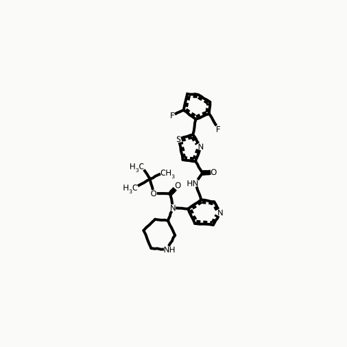 CC(C)(C)OC(=O)N(c1ccncc1NC(=O)c1csc(-c2c(F)cccc2F)n1)C1CCCNC1